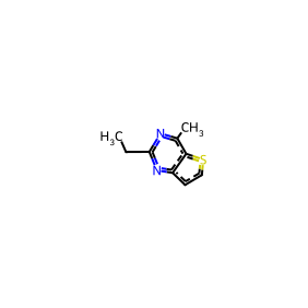 CCc1nc(C)c2sccc2n1